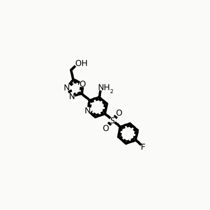 Nc1cc(S(=O)(=O)c2ccc(F)cc2)cnc1-c1nnc(CO)o1